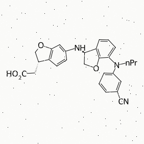 CCCN(c1cccc(C#N)c1)c1cccc2c1OC[C@H]2Nc1ccc2c(c1)OC[C@H]2CC(=O)O